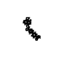 O=C(COc1ccnc2c(C(F)(F)F)cccc12)N1CCN(c2ccc([SH](=O)=O)cc2)CC1